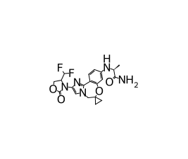 C[C@H](Nc1ccc2c(c1)OC1(CC1)Cn1cc(N3C(=O)OCC3C(F)F)nc1-2)C(N)=O